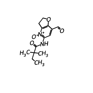 CCC(C)(C)C(=O)Nc1cc(C=O)c2c([n+]1[O-])CCO2